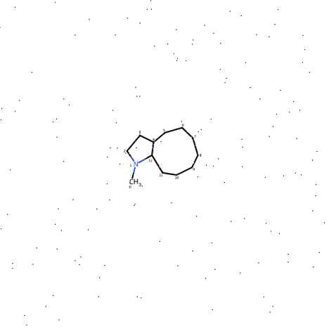 CN1CCC2CCCCCCCC21